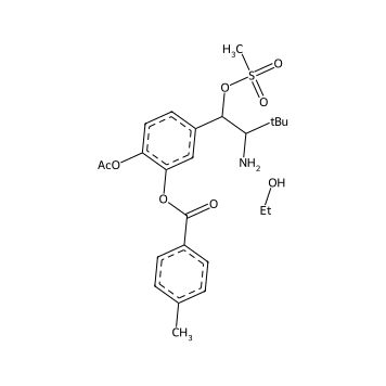 CC(=O)Oc1ccc(C(OS(C)(=O)=O)C(N)C(C)(C)C)cc1OC(=O)c1ccc(C)cc1.CCO